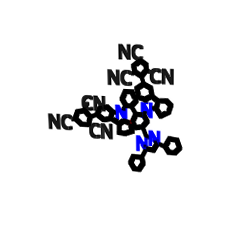 N#Cc1cc(C#N)c(-c2ccc3c(c2)c2ccccc2n3-c2ccccc2-c2ccc(-c3nc(-c4ccccc4)cc(-c4ccccc4)n3)cc2-n2c3ccccc3c3cc(-c4c(C#N)cc(C#N)cc4C#N)ccc32)c(C#N)c1